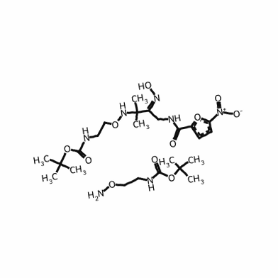 CC(C)(C)OC(=O)NCCON.CC(C)(C)OC(=O)NCCONC(C)(C)C(CNC(=O)c1ccc([N+](=O)[O-])o1)=NO